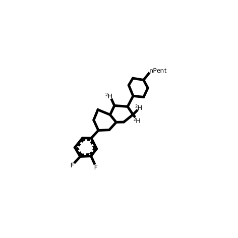 [2H]C1C2CCC(c3ccc(F)c(F)c3)CC2CC([2H])([2H])C1C1CCC(CCCCC)CC1